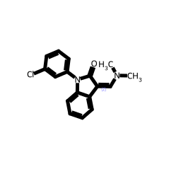 CN(C)/C=C1\C(=O)N(c2cccc(Cl)c2)c2ccccc21